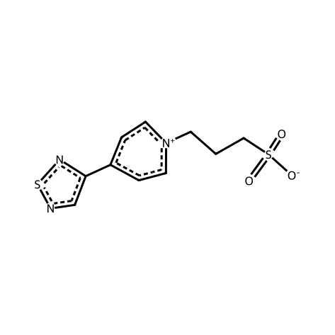 O=S(=O)([O-])CCC[n+]1ccc(-c2cnsn2)cc1